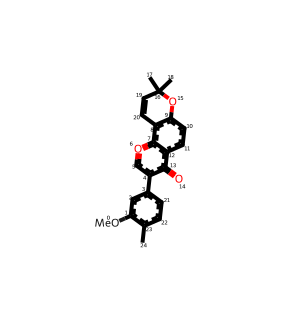 COc1cc(-c2coc3c4c(ccc3c2=O)OC(C)(C)C=C4)ccc1C